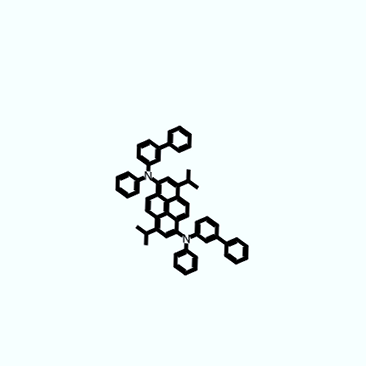 CC(C)c1cc(N(c2ccccc2)c2cccc(-c3ccccc3)c2)c2ccc3c(C(C)C)cc(N(c4ccccc4)c4cccc(-c5ccccc5)c4)c4ccc1c2c34